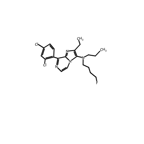 CCCN(CCCCF)c1c(CC)nc2c(-c3ccc(Cl)cc3Cl)nccn12